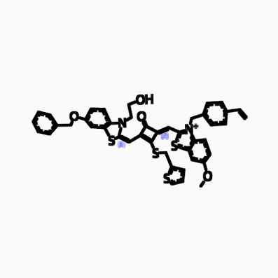 C=Cc1ccc(C[n+]2c(/C=C3/C(=O)C(/C=C4/Sc5cc(OCc6ccccc6)ccc5N4CCO)=C3SCc3cccs3)sc3cc(OC)ccc32)cc1